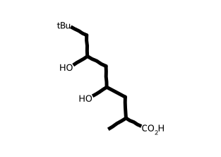 CC(CC(O)CC(O)CC(C)(C)C)C(=O)O